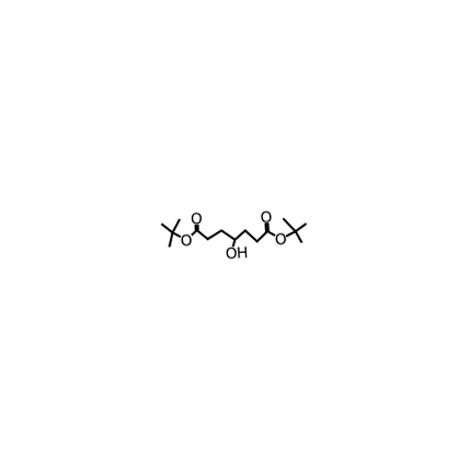 CC(C)(C)OC(=O)CCC(O)CCC(=O)OC(C)(C)C